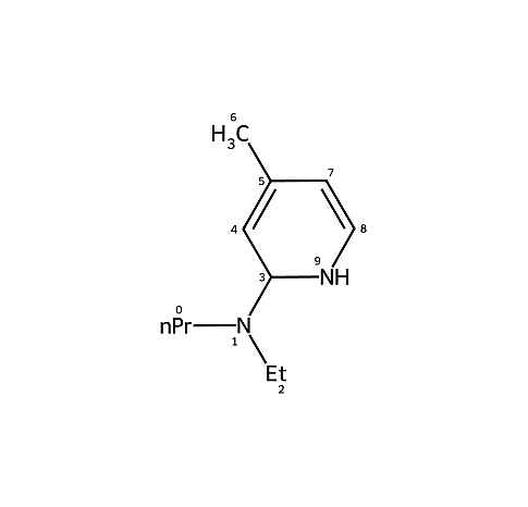 CCCN(CC)C1C=C(C)C=CN1